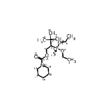 CCOP(=S)(OCC)C(COC(=O)N1CCCCC1)C(C)(C)C